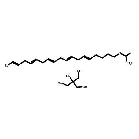 CCC=CCC=CCC=CCC=CCC=CCCCCOC(CC)C(=O)O.NC(CO)(CO)CO